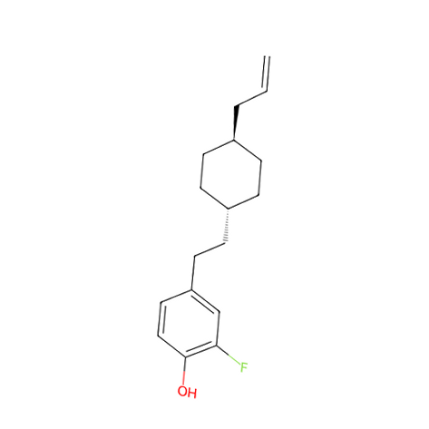 C=CC[C@H]1CC[C@H](CCc2ccc(O)c(F)c2)CC1